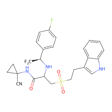 N#CC1(NC(=O)C(CS(=O)(=O)CCc2c[nH]c3ccccc23)N[C@H](c2ccc(F)cc2)C(F)(F)F)CC1